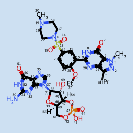 CCCc1nn(C)c2c(=O)[nH]c(-c3cc(S(=O)(=O)N4CCN(C)CC4)ccc3OCC)nc12.Nc1nc2c(ncn2[C@@H]2O[C@@H]3COP(=O)(O)O[C@H]3[C@H]2O)c(=O)[nH]1